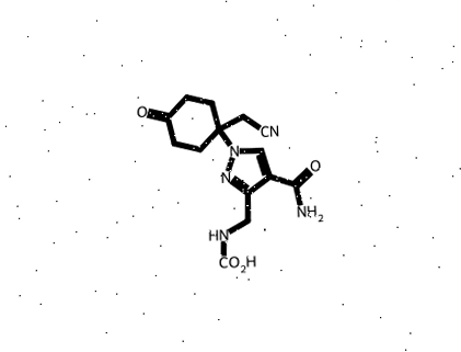 N#CCC1(n2cc(C(N)=O)c(CNC(=O)O)n2)CCC(=O)CC1